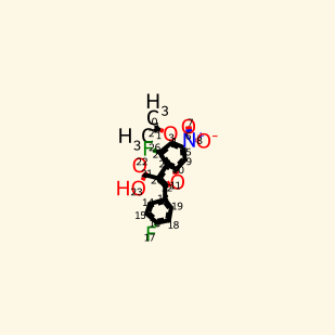 CC(C)Oc1c([N+](=O)[O-])cc2oc(-c3ccc(F)cc3)c(C(=O)O)c2c1F